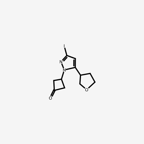 O=C1CC(n2nc(I)cc2C2CCOC2)C1